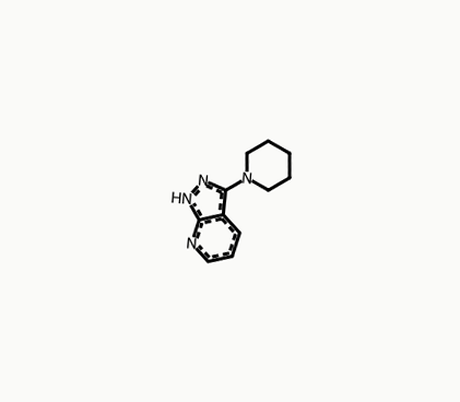 c1cnc2[nH]nc(N3CCCCC3)c2c1